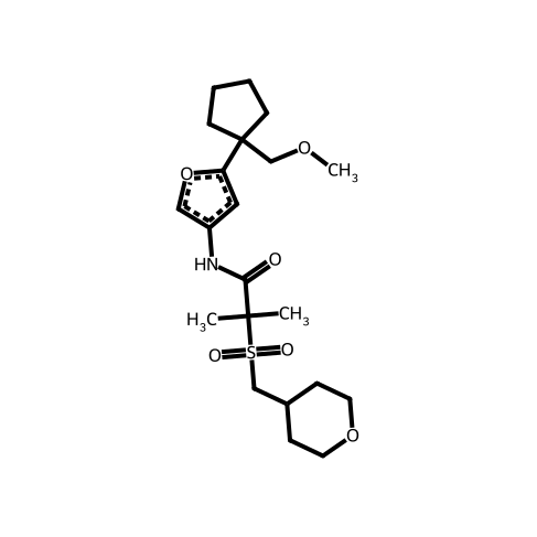 COCC1(c2cc(NC(=O)C(C)(C)S(=O)(=O)CC3CCOCC3)co2)CCCC1